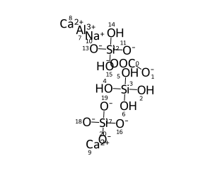 O=C([O-])[O-].O[Si](O)(O)O.[Al+3].[Ca+2].[Ca+2].[Na+].[O-][Si]([O-])(O)O.[O-][Si]([O-])([O-])[O-]